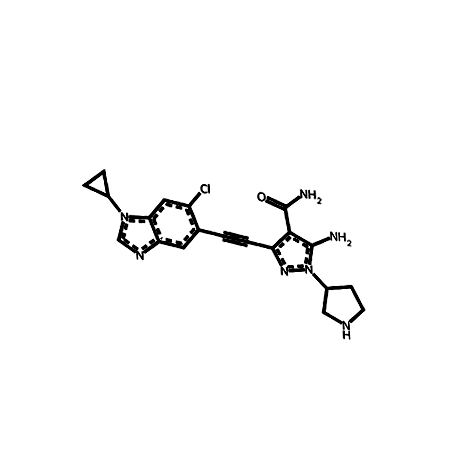 NC(=O)c1c(C#Cc2cc3ncn(C4CC4)c3cc2Cl)nn(C2CCNC2)c1N